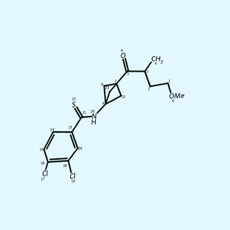 COCCC(C)C(=O)C12CC(NC(=S)c3ccc(Cl)c(Cl)c3)(C1)C2